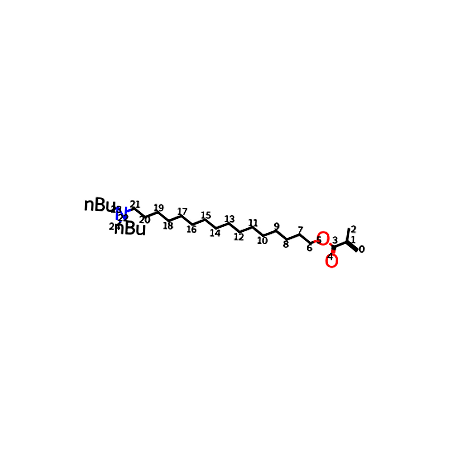 C=C(C)C(=O)OCCCCCCCCCCCCCCCCN(CCCC)CCCC